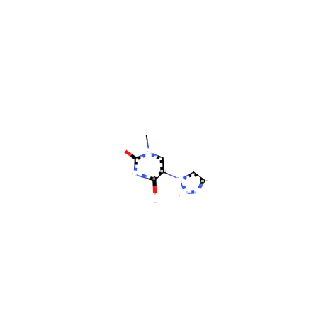 Cn1cc(-n2ccnn2)c(=O)[nH]c1=O